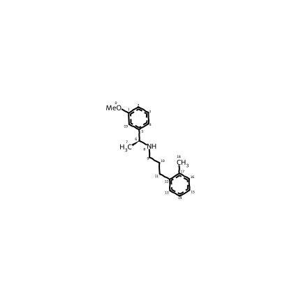 COc1cccc([C@H](C)NCCCc2ccccc2C)c1